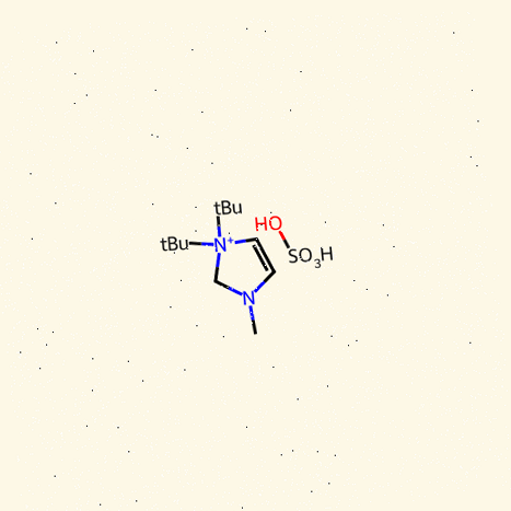 CN1C=C[N+](C(C)(C)C)(C(C)(C)C)C1.O=S(=O)(O)O